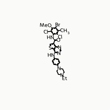 CCN1CCN(c2ccc(Nc3ncnc4c(C(=O)Nc5c(Cl)c(C)c(Br)c(OC)c5Cl)csc34)cc2)CC1